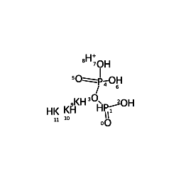 O=[PH](O)OP(=O)(O)O.[H+].[KH].[KH].[KH]